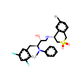 CCc1ccc2c(c1)[C@@H](NC[C@@H](O)[C@H](Cc1cc(F)cc(F)c1)N(C(=O)O)c1ccccc1)CS(=O)(=O)C2